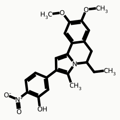 CCC1Cc2cc(OC)c(OC)cc2-c2cc(-c3ccc([N+](=O)[O-])c(O)c3)c(C)n21